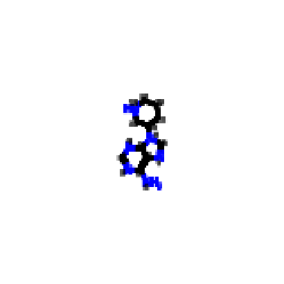 Nc1ncnc2c1ncn2C1CCCNC1